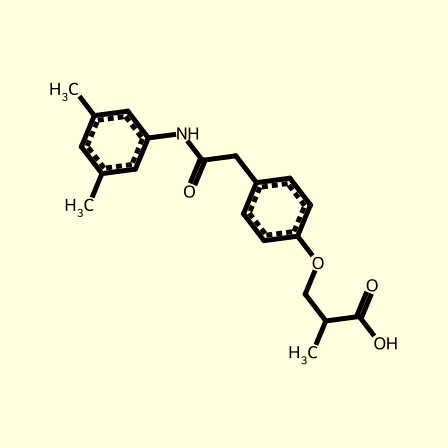 Cc1cc(C)cc(NC(=O)Cc2ccc(OCC(C)C(=O)O)cc2)c1